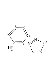 F.c1ccccc1.c1conn1